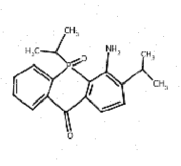 CC(C)c1ccc2c(c1N)P(=O)(C(C)C)c1ccccc1C2=O